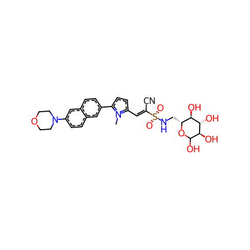 Cn1c(/C=C(\C#N)S(=O)(=O)NC[C@H]2OC(O)[C@H](O)[C@@H](O)[C@@H]2O)ccc1-c1ccc2cc(N3CCOCC3)ccc2c1